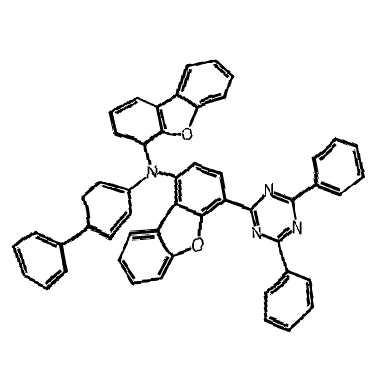 C1=Cc2c(oc3ccccc23)C(N(C2=CCC(c3ccccc3)C=C2)c2ccc(-c3nc(-c4ccccc4)nc(-c4ccccc4)n3)c3oc4ccccc4c23)C1